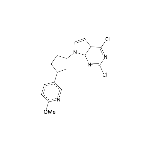 COc1ccc(C2CCC(N3C=CC4C(Cl)=NC(Cl)=NC43)C2)cn1